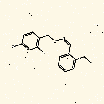 CCc1ccccc1/[C]=N\OCc1ccc(F)cc1F